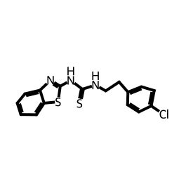 S=C(NCCc1ccc(Cl)cc1)Nc1nc2ccccc2s1